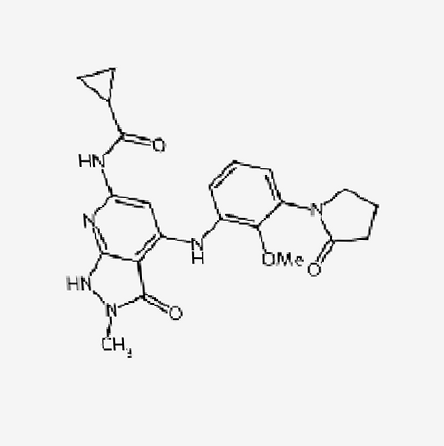 COc1c(Nc2cc(NC(=O)C3CC3)nc3[nH]n(C)c(=O)c23)cccc1N1CCCC1=O